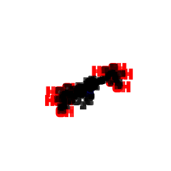 CCOC(=O)Cn1c2cc(C#C[C@H]3O[C@H](CO)[C@@H](O)[C@H](O)[C@@H]3O)ccc2c2ccc(C[C@]3(C)O[C@H](CCO)[C@@H](O)[C@H](O)[C@@H]3O)cc21